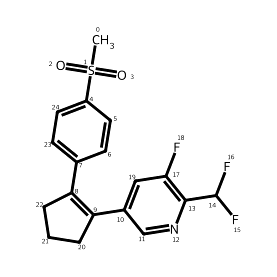 CS(=O)(=O)c1ccc(C2=C(c3cnc(C(F)F)c(F)c3)CCC2)cc1